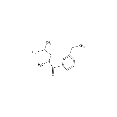 CCc1cccc(C(=O)N(C)CC(C)C)c1